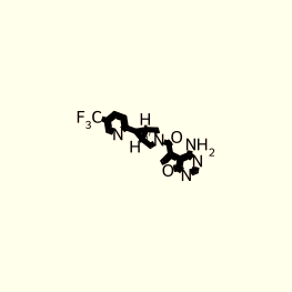 Nc1ncnc2occ(C(=O)N3C[C@@H]4C(c5ccc(C(F)(F)F)cn5)[C@@H]4C3)c12